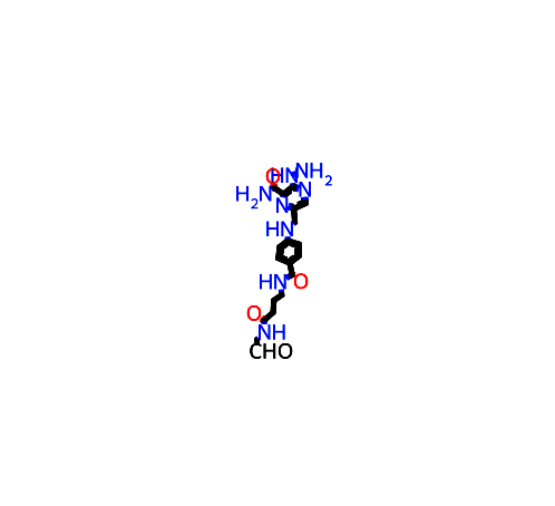 NNc1ncc(CNc2ccc(C(=O)NCCCC(=O)NCC=O)cc2)nc1C(N)=O